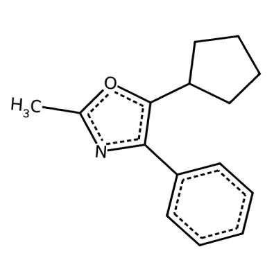 Cc1nc(-c2ccccc2)c(C2CCCC2)o1